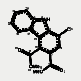 COC(=O)c1cc(Cl)c2[nH]c3ccccc3c2c1C(=O)OC